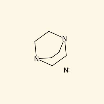 C1CN2CCN1CC2.[N]